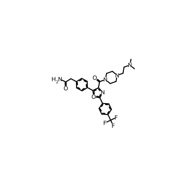 CN(C)CCN1CCN(C(=O)c2nc(-c3ccc(C(F)(F)F)cc3)oc2-c2ccc(CC(N)=O)cc2)CC1